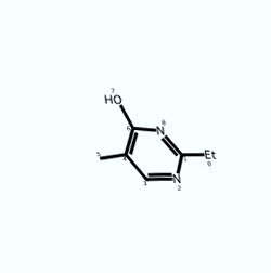 CCc1ncc(C)c(O)n1